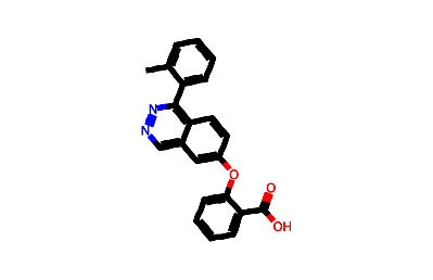 Cc1ccccc1-c1nncc2cc(Oc3ccccc3C(=O)O)ccc12